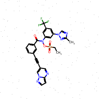 CCS(=O)(=O)ON(C(=O)c1cccc(C#Cc2cnc3ccnn3c2)c1)c1cc(-n2cnc(C)n2)cc(C(F)(F)F)c1